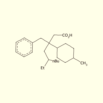 CCCCC(CC)CC(CC(=O)O)(Cc1ccccc1)C1CCC(C)CC1